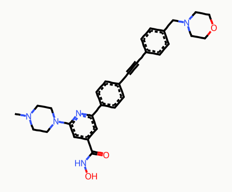 CN1CCN(c2cc(C(=O)NO)cc(-c3ccc(C#Cc4ccc(CN5CCOCC5)cc4)cc3)n2)CC1